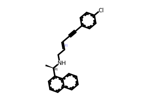 C[C@@H](NC/C=C/C#Cc1ccc(Cl)cc1)c1cccc2ccccc12